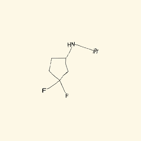 CC(C)NC1CCC(F)(F)C1